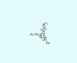 CC(=O)Nc1nc2c(s1)-c1c(c(-c3cccnc3)nn1-c1ccc(NC(=O)N3CCN(C)CC3)cc1Cl)CC2